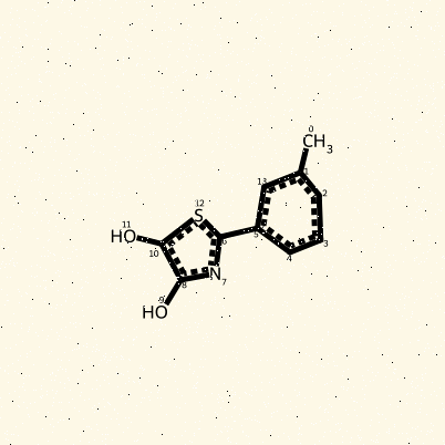 Cc1cccc(-c2nc(O)c(O)s2)c1